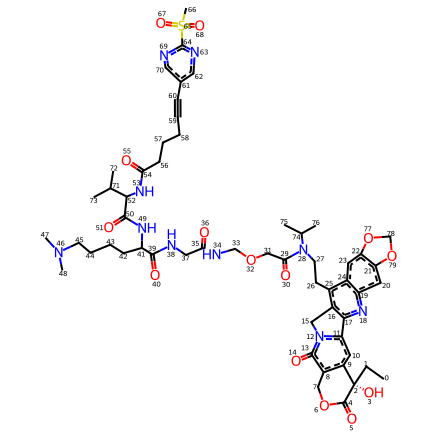 CC[C@@]1(O)C(=O)OCc2c1cc1n(c2=O)Cc2c-1nc1cc3c(cc1c2CCN(C(=O)COCNC(=O)CNC(=O)C(CCCCN(C)C)NC(=O)C(NC(=O)CCCC#Cc1cnc(S(C)(=O)=O)nc1)C(C)C)C(C)C)OCO3